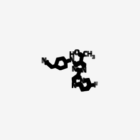 CC(=O)c1cnc(-c2cnc3ccc(F)cn23)nc1NC1CCC(CC#N)CC1